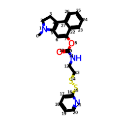 CN1CCc2c1cc(OC(=O)NCCSSc1ccccn1)c1ccccc21